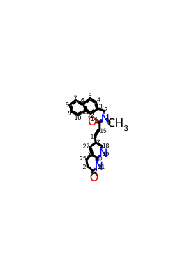 CN(Cc1ccc2ccccc2c1)C(=O)/C=C/C1C=NC2=NC(=O)CCC2=C1